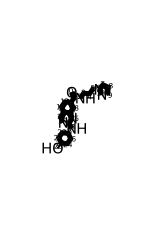 O=C(NCCCn1cccn1)c1ccc2cnc(N[C@H]3CC[C@H](O)CC3)nc2c1